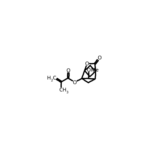 C=C(C)C(=O)OC12CC(C1OC)C13CC2(C1)OC3=O